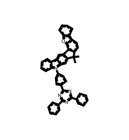 CC1(C)c2cc3c(cc2-c2c1ccc1c2oc2ccccc21)c1ccccc1n3-c1ccc(-c2nc(-c3ccccc3)nc(-c3ccccc3)n2)cc1